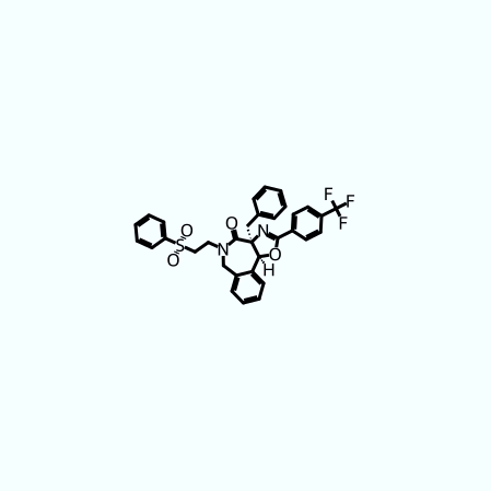 O=C1N(CCS(=O)(=O)c2ccccc2)Cc2ccccc2[C@@H]2OC(c3ccc(C(F)(F)F)cc3)=N[C@]12Cc1ccccc1